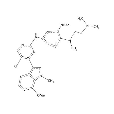 COc1cccc2c(-c3nc(Nc4ccc(N(C)CCN(C)C)c(NC(C)=O)c4)ncc3Cl)cn(C)c12